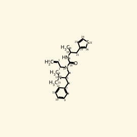 C=CCN(CC(Cc1ccccc1)N(C)C)C(=O)NC(C)Cc1ccsc1